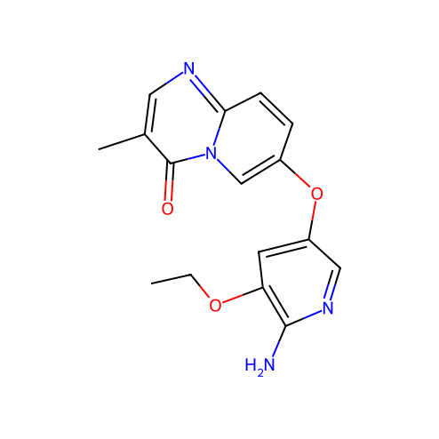 CCOc1cc(Oc2ccc3ncc(C)c(=O)n3c2)cnc1N